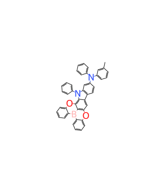 Cc1cccc(N(c2ccccc2)c2ccc3c4cc5c6c(c4n(-c4ccccc4)c3c2)Oc2ccccc2B6c2ccccc2O5)c1